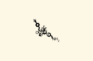 N#Cc1ccc(CCNC(=O)[C@@H]2CCN2c2cc(N3CCC(CCN)CC3)nc(C(F)(F)F)n2)cc1